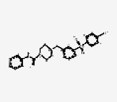 O=C(Nc1ccccc1)N1CCN(Cc2cccc(S(=O)(=O)c3ccc(Cl)cc3)c2)CC1